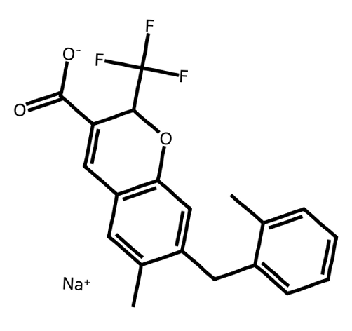 Cc1ccccc1Cc1cc2c(cc1C)C=C(C(=O)[O-])C(C(F)(F)F)O2.[Na+]